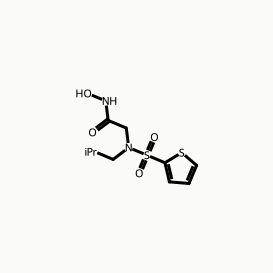 CC(C)CN(CC(=O)NO)S(=O)(=O)c1cccs1